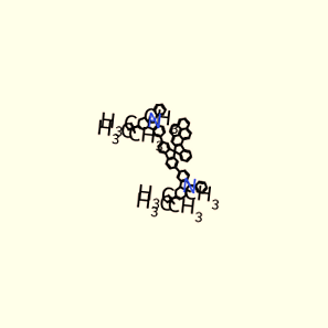 CC(C)(C)C1CCC2(C)C(C1)c1cc(-c3ccc4c(c3)C3(c5cc(-c6ccc7c(c6)C6CC(C(C)(C)C)CCC6(C)N7c6ccccc6)ccc5-4)c4ccccc4-c4c3cc3ccc5cccc6ccc4c3c56)ccc1N2c1ccccc1